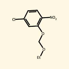 CCOCOc1cc(Cl)ccc1[N+](=O)[O-]